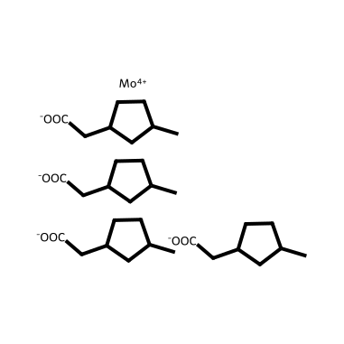 CC1CCC(CC(=O)[O-])C1.CC1CCC(CC(=O)[O-])C1.CC1CCC(CC(=O)[O-])C1.CC1CCC(CC(=O)[O-])C1.[Mo+4]